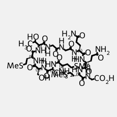 CSCC[C@H](NC(=O)[C@H](CCC(N)=O)NC(=O)[C@H](CCC(N)=O)NC(=O)CNC(=O)CNC(=O)[C@@H](NC(=O)[C@H](CCSC)NC(=O)[C@H](CO)NC(=O)[C@H](C)NC(=O)[C@@H](N)CCSC)C(C)O)C(=O)NCC(=O)O